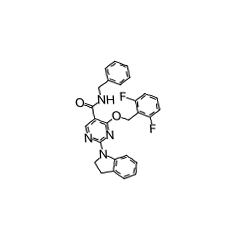 O=C(NCc1ccccc1)c1cnc(N2CCc3ccccc32)nc1OCc1c(F)cccc1F